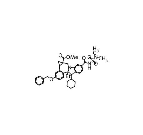 CCC12c3ccc(OCc4ccccc4)cc3C3CC3(C(=O)OC)CN1c1cc(C(=O)NS(=O)(=O)N(C)C)ccc1C2C1CCCCC1